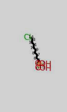 O=P(O)(O)OCCCCCCCCCCl